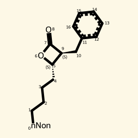 CCCCCCCCCCCCC[C@@H]1OC(=O)[C@H]1Cc1ccccc1